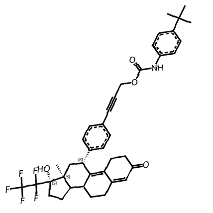 CC(C)(C)c1ccc(NC(=O)OCC#Cc2ccc([C@H]3C[C@@]4(C)C(CC[C@@]4(O)C(F)(F)C(F)(F)F)C4CCC5=CC(=O)CCC5=C43)cc2)cc1